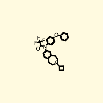 O=C(N(c1ccc(Oc2ccccc2)cc1)c1ccc2c(c1)CCN(C1CCC1)CC2)C(F)(F)F